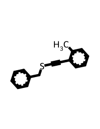 Cc1ccccc1C#CSCc1ccccc1